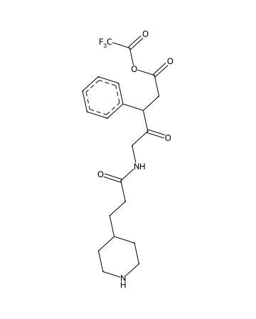 O=C(CCC1CCNCC1)NCC(=O)C(CC(=O)OC(=O)C(F)(F)F)c1ccccc1